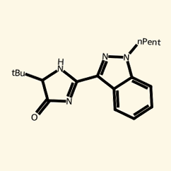 CCCCCn1nc(C2=NC(=O)C(C(C)(C)C)N2)c2ccccc21